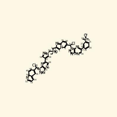 CP(=O)(Cc1cn2cc(C(Cl)n3nnc4ncc(-c5cccc(P(C)(C)=O)c5)nc43)ccc2n1)Cn1cc(-c2cnc3nnn(C(Cl)c4ccc5ncccc5c4)c3n2)cn1